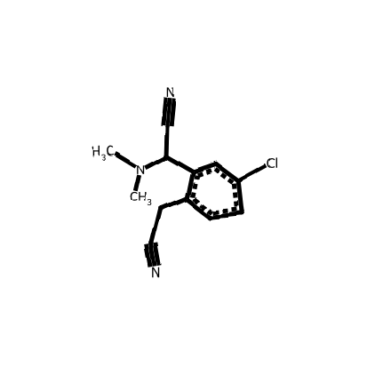 CN(C)C(C#N)c1cc(Cl)ccc1CC#N